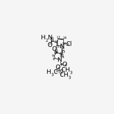 CC(C)(C)OC(=O)N1CC[C@@H](Oc2nc(Cl)ccc2C(N)=O)[C@@H](F)C1